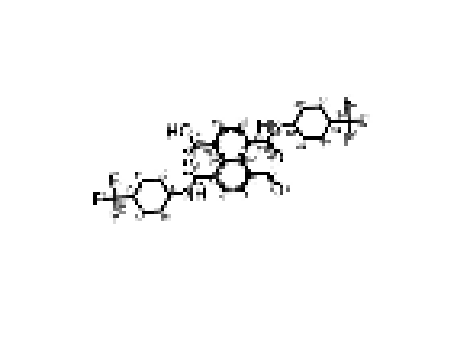 O=Cc1ccc(C(=O)NC2CCC(C(F)(F)F)CC2)c2c(C(=O)O)ccc(C(=O)NC3CCC(C(F)(F)F)CC3)c12